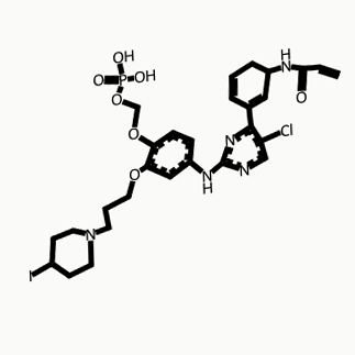 C=CC(=O)NC1C=C(c2nc(Nc3ccc(OCOP(=O)(O)O)c(OCCCN4CCC(I)CC4)c3)ncc2Cl)C=CC1